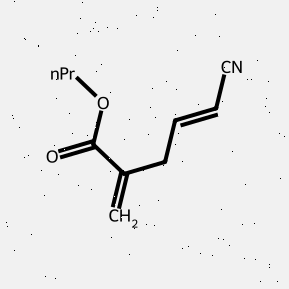 C=C(CC=CC#N)C(=O)OCCC